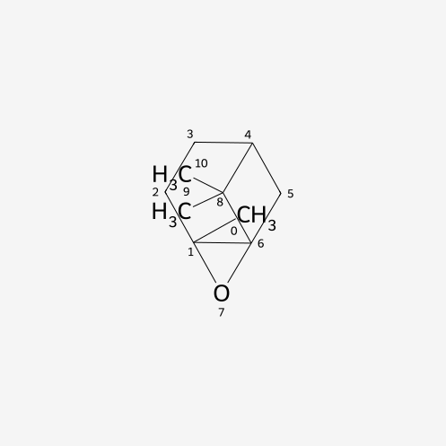 CC12CCC3CC1(O2)C3(C)C